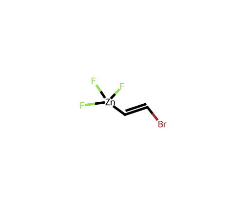 [F][Zn]([F])([F])[CH]=CBr